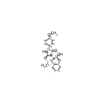 CC[C@@H](c1ccccc1)[C@@H](C(=O)O)N1C(=O)NC(c2ccc(OC)cc2)C1=O